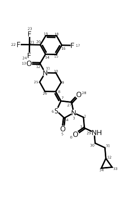 O=C(CN1C(=O)SC(=C2CCN(C(=O)c3cc(F)ccc3C(F)(F)F)CC2)C1=O)NCCC1CC1